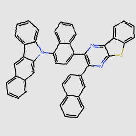 c1ccc2cc(-c3nc4sc5ccccc5c4nc3-c3ccc(-n4c5ccccc5c5cc6ccccc6cc54)c4ccccc34)ccc2c1